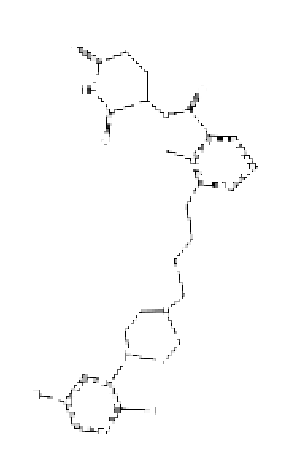 O=C1CCC(N2Cc3c(CCCCN4CCN(c5cc(Cl)ccc5Cl)CC4)cccc3C2=O)C(=O)N1